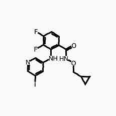 O=C(NOCC1CC1)c1ccc(F)c(F)c1Nc1cncc(I)c1